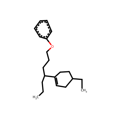 CCCC(CCCOc1ccccc1)C1=CCC(CC)CC1